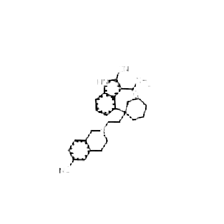 N#Cc1ccc2c(c1)CCN(CCC1(c3cccc4[nH]c(C#N)c(C(N)=O)c34)CCCCC1)C2